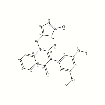 COc1cc(OC)cc(-c2c(O)n(Cc3cnc(Cl)s3)c3cccc[n+]3c2=O)c1